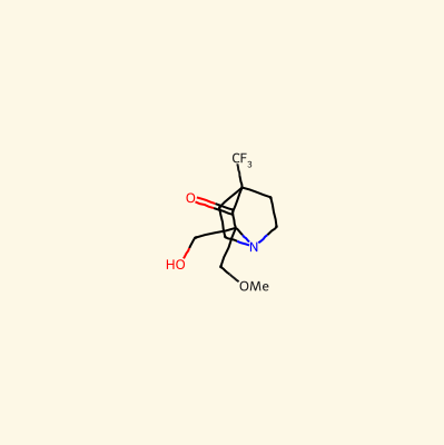 COCC1(CO)C(=O)C2(C(F)(F)F)CCN1CC2